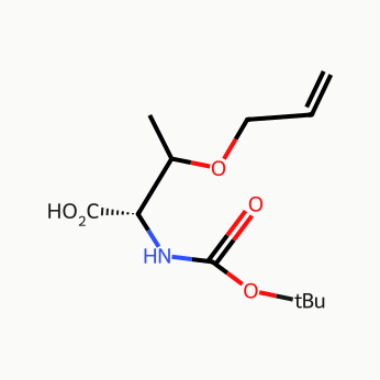 C=CCOC(C)[C@H](NC(=O)OC(C)(C)C)C(=O)O